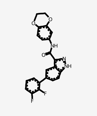 O=C(Nc1ccc2c(c1)OCCO2)c1n[nH]c2ccc(-c3cccc(F)c3F)cc12